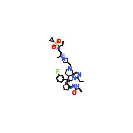 C=CC(=O)N[C@H]1CCC[C@@H]1[C@](Cn1ccnc1CC)(c1cccc(F)c1)C1CCN(CC2CN(/C(C)=C/C=C(\C=C)S(=O)(=O)C3CC3)C2)CC1